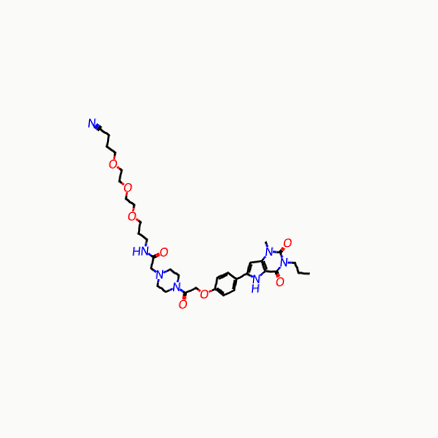 CCCn1c(=O)c2[nH]c(-c3ccc(OCC(=O)N4CCN(CC(=O)NCCCOCCOCCOCCCC#N)CC4)cc3)cc2n(C)c1=O